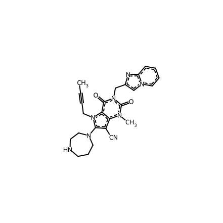 CC#CCn1c(N2CCCNCC2)c(C#N)c2c1c(=O)n(Cc1cn3ccccc3n1)c(=O)n2C